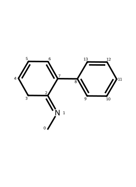 CN=C1CC=CC=C1c1ccccc1